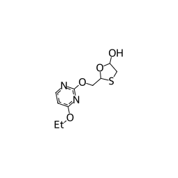 CCOc1ccnc(OCC2OC(O)CS2)n1